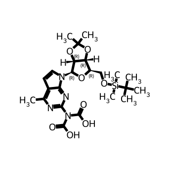 Cc1nc(N(C(=O)O)C(=O)O)nc2c1ccn2[C@@H]1O[C@H](CO[Si](C)(C)C(C)(C)C)[C@H]2OC(C)(C)O[C@H]21